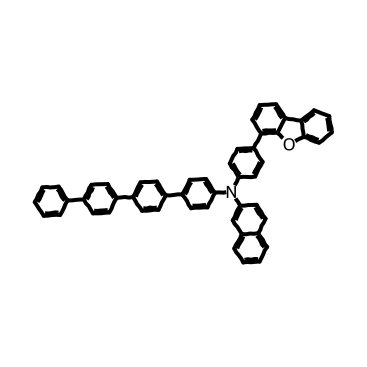 c1ccc(-c2ccc(-c3ccc(-c4ccc(N(c5ccc(-c6cccc7c6oc6ccccc67)cc5)c5ccc6ccccc6c5)cc4)cc3)cc2)cc1